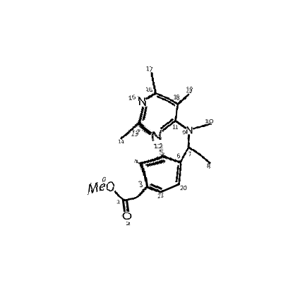 COC(=O)c1ccc(C(C)N(C)c2nc(C)nc(C)c2C)cc1